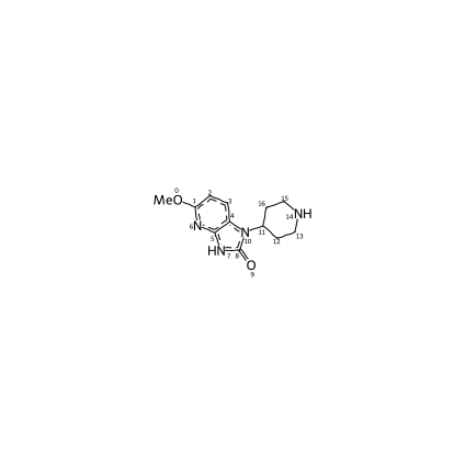 COc1ccc2c(n1)[nH]c(=O)n2C1CCNCC1